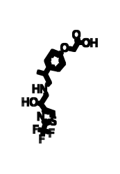 CC(CNCC(O)c1csc(C(F)(F)F)n1)c1ccc(OCC(=O)O)cc1